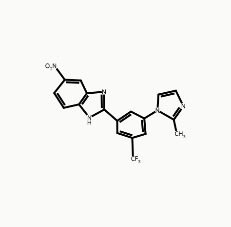 Cc1nccn1-c1cc(-c2nc3cc([N+](=O)[O-])ccc3[nH]2)cc(C(F)(F)F)c1